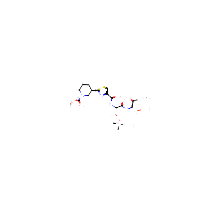 COC(=O)[C@H](CO)NC(=O)[C@H](CO[Si](C)(C)C(C)(C)C)NC(=O)c1csc(C2CCCN(C(=O)OC(C)(C)C)C2)n1